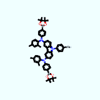 Cc1ccc(N(c2ccc(B3OC(C)(C)C(C)(C)O3)cc2)c2ccc3c(c2)c2cc(N(c4ccc(B5OC(C)(C)C(C)(C)O5)cc4)c4ccc(C)cc4C)ccc2n3-c2ccc(C(C)(C)C)cc2)c(C)c1